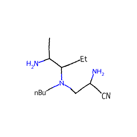 CCCCN(CC(N)C#N)C(CC)C(C)N